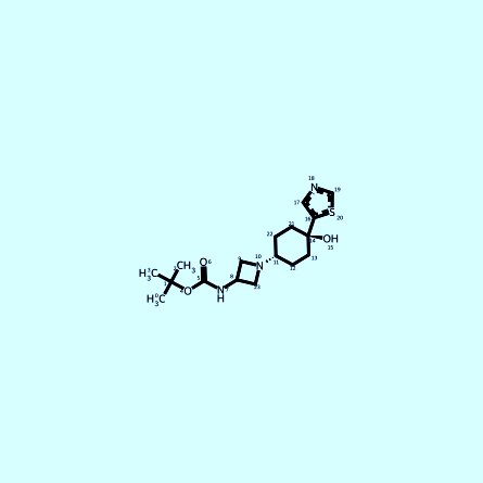 CC(C)(C)OC(=O)NC1CN([C@H]2CC[C@@](O)(c3cncs3)CC2)C1